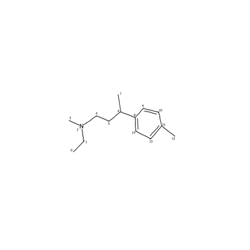 CCN(C)CCC(C)c1ccc(C)cc1